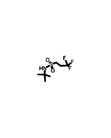 CC(C)(C)NS(=O)(=O)CCC(F)(F)F